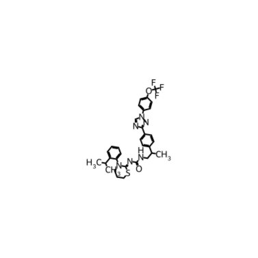 CC(C)c1ccccc1N1CCCS/C1=N\C(=O)NCC(C)c1ccc(-c2ncn(-c3ccc(OC(F)(F)F)cc3)n2)cc1